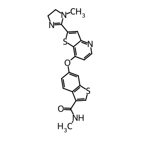 CNC(=O)c1csc2cc(Oc3ccnc4cc(C5=NCCN5C)sc34)ccc12